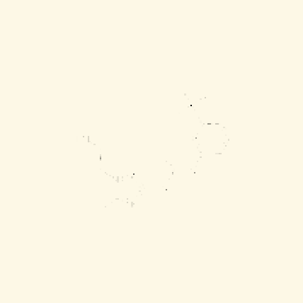 Cc1nc(NC(=O)Nc2cccc(C(F)(F)F)c2)cn1CCN